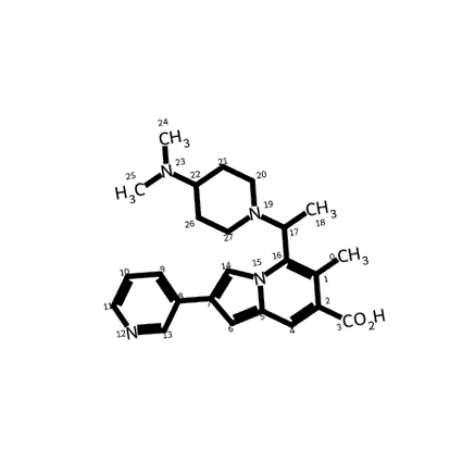 Cc1c(C(=O)O)cc2cc(-c3cccnc3)cn2c1C(C)N1CCC(N(C)C)CC1